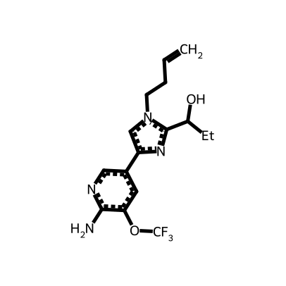 C=CCCn1cc(-c2cnc(N)c(OC(F)(F)F)c2)nc1C(O)CC